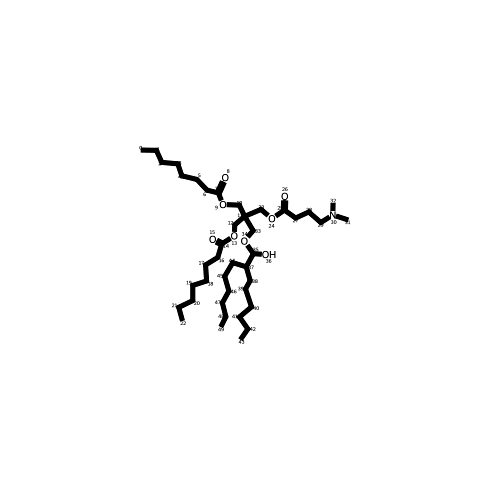 CCCCCCCC(=O)OCC(COC(=O)CCCCCCC)(COC(=O)CCCN(C)C)COC(O)C(CCCCCC)CCCCCC